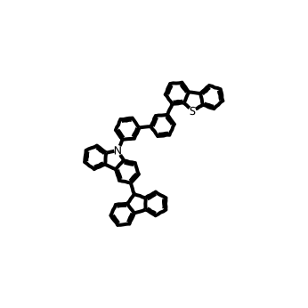 c1cc(-c2cccc(-n3c4ccccc4c4cc(C5c6ccccc6-c6ccccc65)ccc43)c2)cc(-c2cccc3c2sc2ccccc23)c1